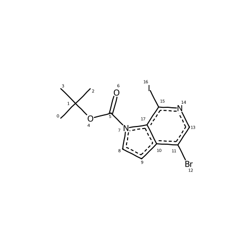 CC(C)(C)OC(=O)n1ccc2c(Br)cnc(I)c21